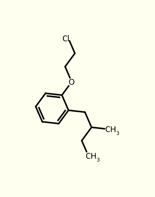 CCC(C)Cc1ccccc1OCCCl